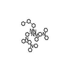 c1ccc(-c2cccc(-c3cccc(-c4nc(-c5cccc(-n6c7ccccc7c7cc(N(c8ccccc8)c8ccccc8)ccc76)c5)nc(-n5c6ccccc6c6cc(N(c7ccccc7)c7ccccc7)ccc65)n4)c3)c2)cc1